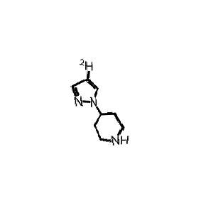 [2H]c1cnn(C2CCNCC2)c1